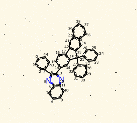 c1ccc(-c2nc3ccccc3nc2-c2ccc3c(c2)C(c2ccccc2)(c2ccccc2)c2cc4ccccc4cc2-3)cc1